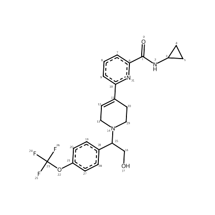 O=C(NC1CC1)c1cccc(C2=CCN(C(CO)c3ccc(OC(F)(F)F)cc3)CC2)n1